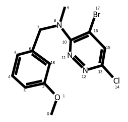 COc1cccc(CN(C)c2nnc(Cl)cc2Br)c1